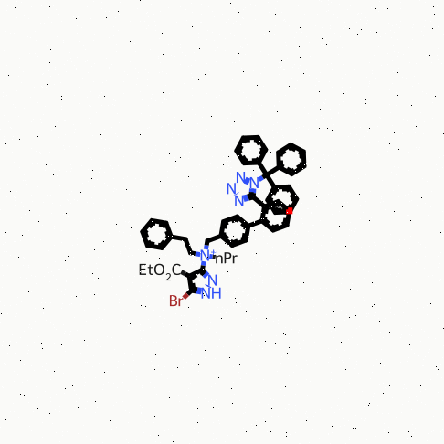 CCC[N+](CCc1ccccc1)(Cc1ccc(-c2ccccc2-c2nnnn2C(c2ccccc2)(c2ccccc2)c2ccccc2)cc1)c1n[nH]c(Br)c1C(=O)OCC